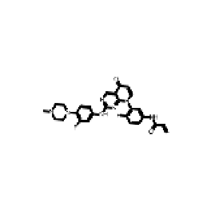 C=CC(=O)Nc1ccc(F)c(-n2ccc(=O)c3cnc(Nc4ccc(N5CCN(C)CC5)c(F)c4)nc32)c1